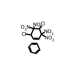 O=[N+]([O-])C1([N+](=O)[O-])C=CC(Cl)C([N+](=O)[O-])([N+](=O)[O-])C1Cl.c1ccccc1